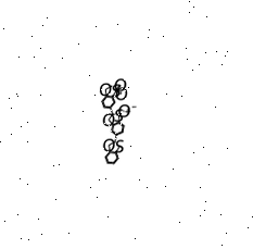 O=S1(=O)COc2ccc(C3Oc4cc(C5Oc6ccccc6S5)ccc4[S+]3[O-])cc21